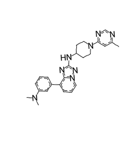 Cc1cc(N2CCC(Nc3nc4c(-c5cccc(N(C)C)c5)cccn4n3)CC2)ncn1